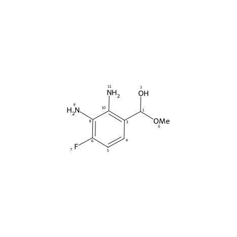 COC(O)c1ccc(F)c(N)c1N